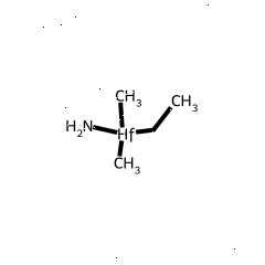 C[CH2][Hf]([CH3])([CH3])[NH2]